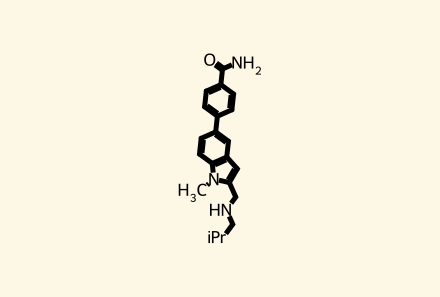 CC(C)CNCc1cc2cc(-c3ccc(C(N)=O)cc3)ccc2n1C